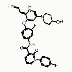 N=C/C=C1\NC=C(N2CCC(O)CC2)C=C1Oc1ccc(NC(=O)c2cccn(-c3ccc(F)cc3)c2=O)cc1F